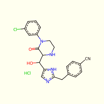 Cl.N#Cc1ccc(Cc2ncc(C(O)C3NCCN(c4cccc(Cl)c4)C3=O)[nH]2)cc1